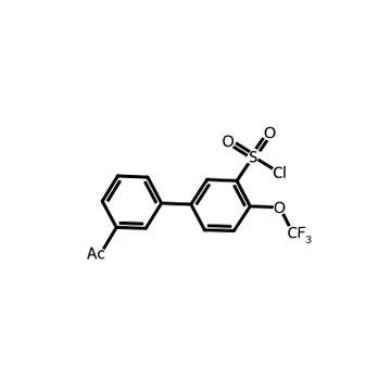 CC(=O)c1cccc(-c2ccc(OC(F)(F)F)c(S(=O)(=O)Cl)c2)c1